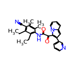 CCc1c(C#N)c(C)c(C)c(NC(=O)C(=O)c2c(-c3cccnc3)cc3ccccn23)c1CC